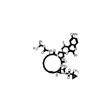 COc1ccc2nc(C(C)C)c3c(c2c1)[C@H](F)C[C@]1(C[C@H]2C(=O)N[C@]4(C(=O)NS(=O)(=O)C5(C)CC5)C[C@H]4/C=C\CCCCC[C@H](NC(=O)O[C@@H](C)C(C)C)C(=O)N2C1)O3